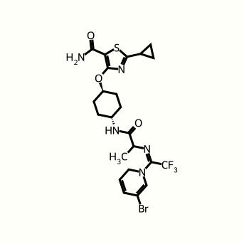 CC(/N=C(\N1C=C(Br)C=CC1)C(F)(F)F)C(=O)N[C@H]1CC[C@H](Oc2nc(C3CC3)sc2C(N)=O)CC1